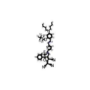 CCCCN(CCCC)c1ccc(/C=C/c2ccc(/C=C/C3=C(C#N)C(=C(C#N)C#N)OC3(c3ccccc3)C(F)(F)F)s2)c(O[Si](C)(C)C(C)(C)C)c1